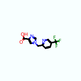 O=C(O)c1cn(Cc2ccc(C(F)(F)F)cn2)cn1